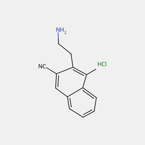 Cc1c(CCN)c(C#N)cc2ccccc12.Cl